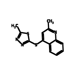 Cc1cc(Sc2nnc(C)s2)c2ccccc2n1